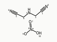 N#CCNCC#N.O=[N+]([O-])O